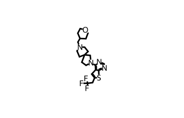 FC(F)(F)Cc1cc2c(N3CCC4(CCN(CC5CCOCC5)CC4)C3)ncnc2s1